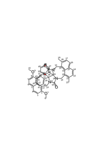 COc1ccc2ccc(OC)c3c2c1CN1C(=O)N2Cc4c(C)ccc5ccc(C)c(c45)CN4C(=O)N(C3)C1(c1ccccc1)C24c1ccccc1